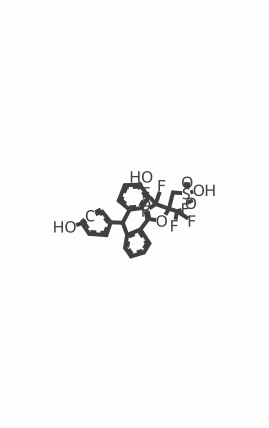 O=C(OC(CS(=O)(=O)O)(C(F)(F)F)C(F)(F)F)c1ccccc1C(c1ccc(O)cc1)c1ccc(O)cc1